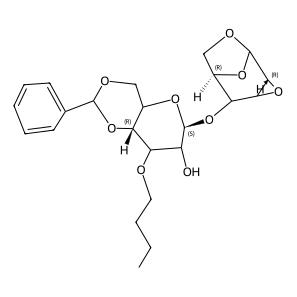 CCCCOC1C(O)[C@H](OC2C3O[C@H]3C3OC[C@H]2O3)OC2COC(c3ccccc3)O[C@H]21